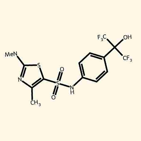 CNc1nc(C)c(S(=O)(=O)Nc2ccc(C(O)(C(F)(F)F)C(F)(F)F)cc2)s1